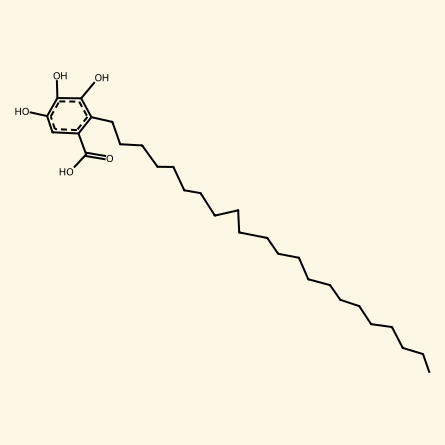 CCCCCCCCCCCCCCCCCCCCCCc1c(C(=O)O)cc(O)c(O)c1O